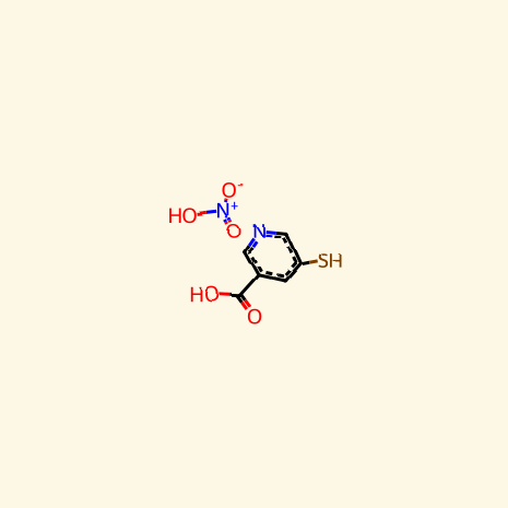 O=C(O)c1cncc(S)c1.O=[N+]([O-])O